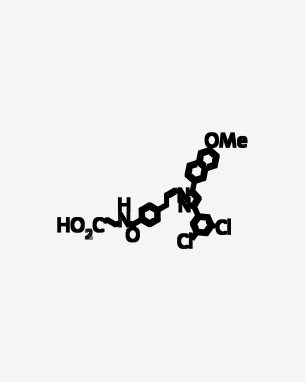 COc1ccc2cc(-c3cc(-c4cc(Cl)cc(Cl)c4)nn3/C=C\Cc3ccc(C(=O)NCCC(=O)O)cc3)ccc2c1